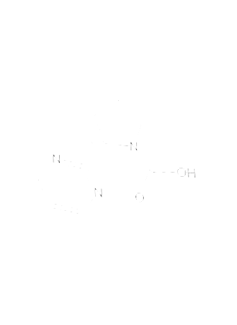 O=C(O)N1CCC[C@H]1c1ncccn1